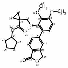 COc1ccc(-c2ccc3c(c2)COC3=O)c(OCC2(C(=O)OC3CCCC3)CC2)c1OC